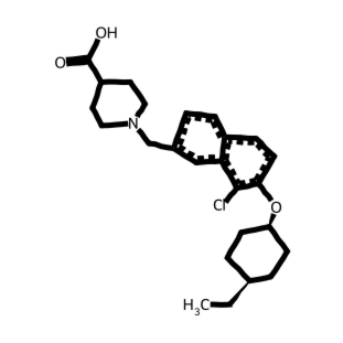 CC[C@H]1CC[C@@H](Oc2ccc3ccc(CN4CCC(C(=O)O)CC4)cc3c2Cl)CC1